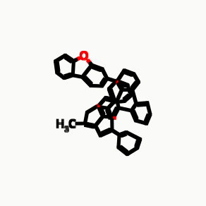 C\C1=C(c2ccc3c(c2)c2ccccc2c2cccc(-c4ccc5c(c4)oc4ccccc45)c23)/C=C(c2ccccc2)\C=C(\c2ccccc2)CC1